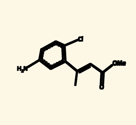 COC(=O)C=C(C)c1cc(N)ccc1Cl